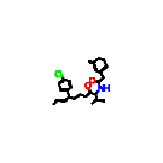 CCCC(CCCC(=O)C(NC(=O)Cc1cccc(C)c1)C(C)C)c1ccc(Cl)cc1